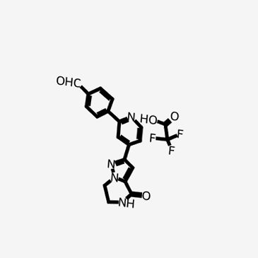 O=C(O)C(F)(F)F.O=Cc1ccc(-c2cc(-c3cc4n(n3)CCNC4=O)ccn2)cc1